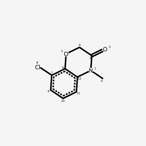 CN1C(=O)COc2c(Cl)c[c]cc21